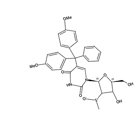 COc1ccc(C(c2ccccc2)(c2ccc(OC)cc2)c2cn([C@H]3O[C@@H](CO)C(O)C3[S+](C)[O-])c(=O)[nH]c2=O)cc1